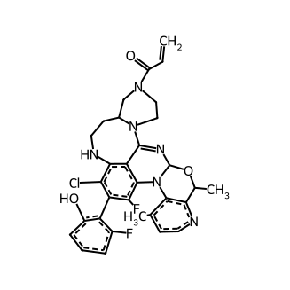 C=CC(=O)N1CCN2C3=NC4OC(C)c5nccc(C)c5N4c4c(F)c(-c5c(O)cccc5F)c(Cl)c(c43)NCCC2C1